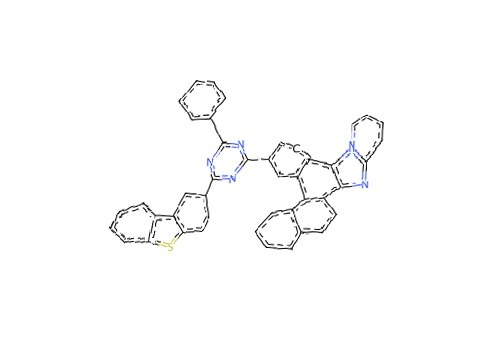 c1ccc(-c2nc(-c3ccc4sc5ccccc5c4c3)nc(-c3ccc4c(c3)c3c5ccccc5ccc3c3nc5ccccn5c43)n2)cc1